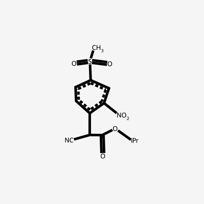 CC(C)OC(=O)C(C#N)c1ccc(S(C)(=O)=O)cc1[N+](=O)[O-]